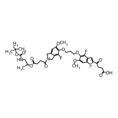 COc1cc2c(c(F)c1OCCCOc1c(OC)cc3sc(C(=O)CCC(=O)O)cc3c1F)CN(C(=O)CCC(=O)O[C@@H](C)CNC(=O)OC(C)(C)C)C2